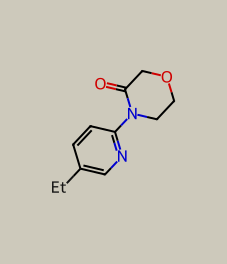 CCc1ccc(N2CCOCC2=O)nc1